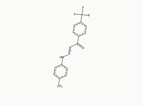 Cc1ccc(N/C=C/C(=O)c2ccc(C(F)(F)F)cc2)cc1